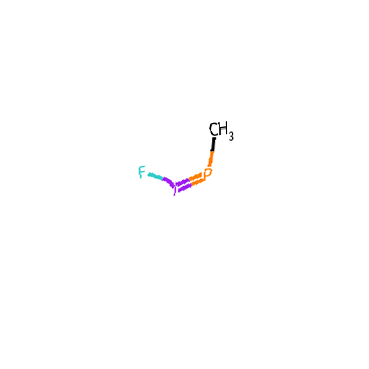 C/P=I\F